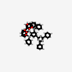 c1ccc(-c2nc(-c3ccccc3)nc(-c3cc(N(c4ccccc4)c4ccccc4)c(-n4c5ccccc5c5ccc6ccccc6c54)c(N(c4ccccc4)c4ccccc4)c3)n2)cc1